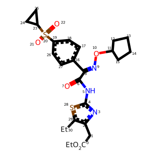 CCOC(=O)Cc1nc(NC(=O)/C(=N/OC2CCCC2)c2ccc(S(=O)(=O)C3CC3)cc2)sc1CC